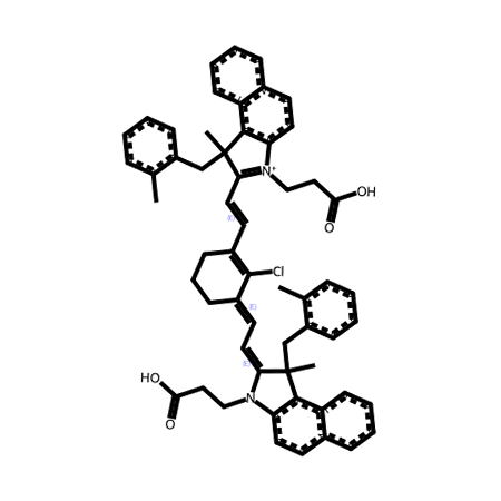 Cc1ccccc1CC1(C)C(/C=C/C2=C(Cl)C(=C/C=C3/N(CCC(=O)O)c4ccc5ccccc5c4C3(C)Cc3ccccc3C)/CCC2)=[N+](CCC(=O)O)c2ccc3ccccc3c21